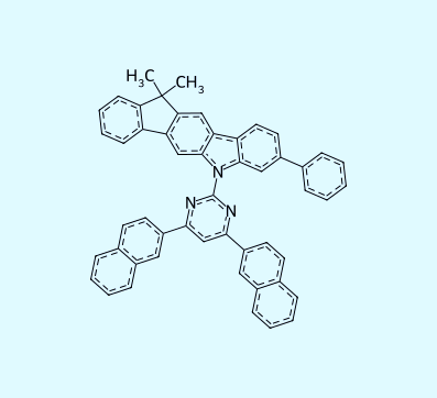 CC1(C)c2ccccc2-c2cc3c(cc21)c1ccc(-c2ccccc2)cc1n3-c1nc(-c2ccc3ccccc3c2)cc(-c2ccc3ccccc3c2)n1